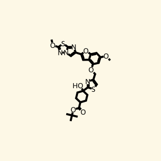 COc1cc(OCc2csc(C3(O)CCC(C(=O)OC(C)(C)C)CC3)n2)c2cc(-c3cn4nc(OC)sc4n3)oc2c1